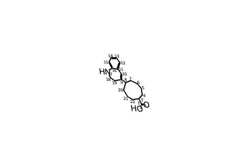 O=C(O)C1CCCCC(C2=Cc3ccccc3NCC2)CCC1